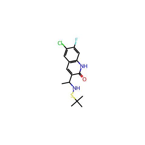 CC(NSC(C)(C)C)c1cc2cc(Cl)c(F)cc2[nH]c1=O